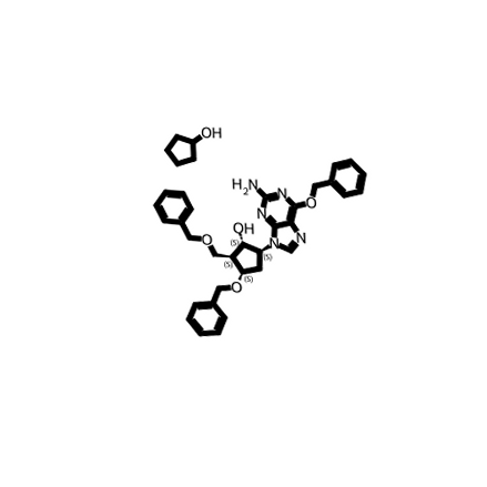 Nc1nc(OCc2ccccc2)c2ncn([C@H]3C[C@H](OCc4ccccc4)[C@@H](COCc4ccccc4)[C@@H]3O)c2n1.OC1CCCC1